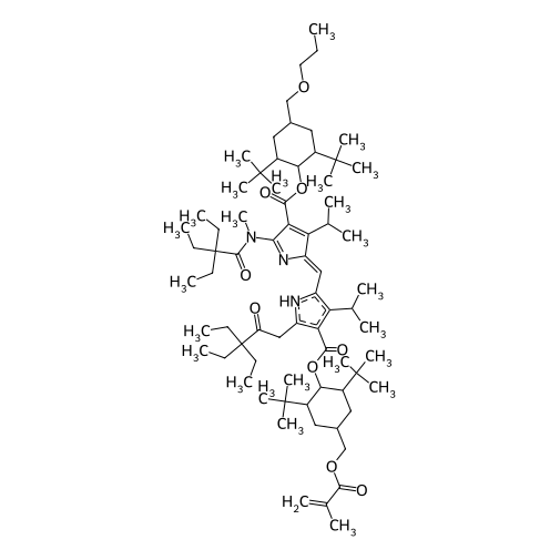 C=C(C)C(=O)OCC1CC(C(C)(C)C)C(OC(=O)c2c(CC(=O)C(CC)(CC)CC)[nH]c(/C=C3\N=C(N(C)C(=O)C(CC)(CC)CC)C(C(=O)OC4C(C(C)(C)C)CC(COCCC)CC4C(C)(C)C)=C3C(C)C)c2C(C)C)C(C(C)(C)C)C1